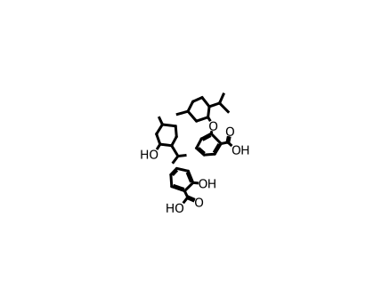 CC1CCC(C(C)C)C(O)C1.CC1CCC(C(C)C)C(Oc2ccccc2C(=O)O)C1.O=C(O)c1ccccc1O